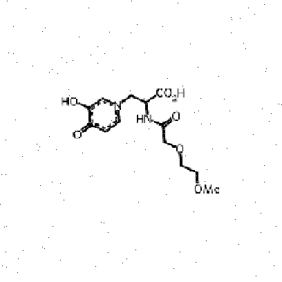 COCCOCC(=O)NC(Cn1ccc(=O)c(O)c1)C(=O)O